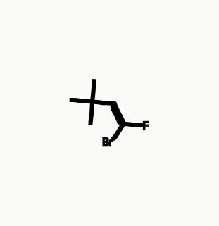 CC(C)(C)/C=C(/F)Br